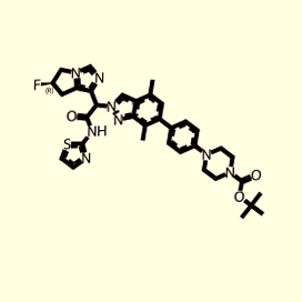 Cc1cc(-c2ccc(N3CCN(C(=O)OC(C)(C)C)CC3)cc2)c(C)c2nn(C(C(=O)Nc3nccs3)c3ncn4c3C[C@@H](F)C4)cc12